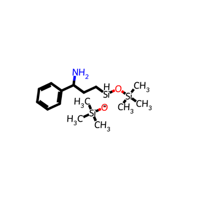 C[Si](C)(C)O[SiH](CCC(N)c1ccccc1)O[Si](C)(C)C